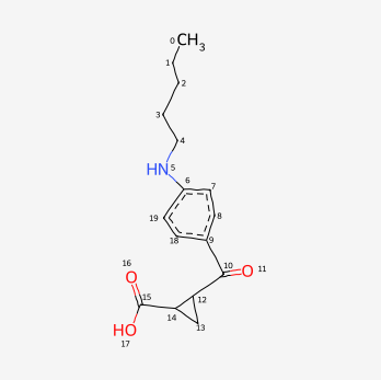 CCCCCNc1ccc(C(=O)C2CC2C(=O)O)cc1